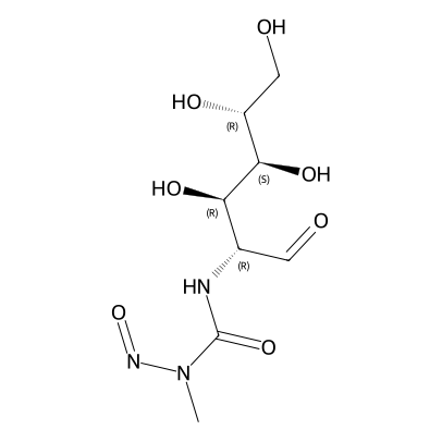 CN(N=O)C(=O)N[C@@H](C=O)[C@@H](O)[C@H](O)[C@H](O)CO